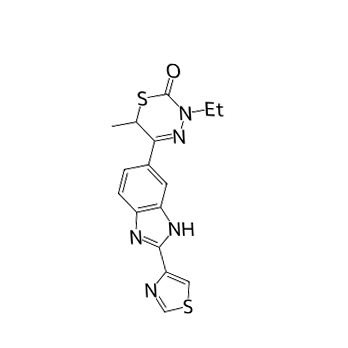 CCN1N=C(c2ccc3nc(-c4cscn4)[nH]c3c2)C(C)SC1=O